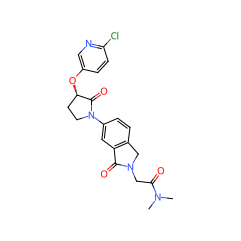 CN(C)C(=O)CN1Cc2ccc(N3CC[C@@H](Oc4ccc(Cl)nc4)C3=O)cc2C1=O